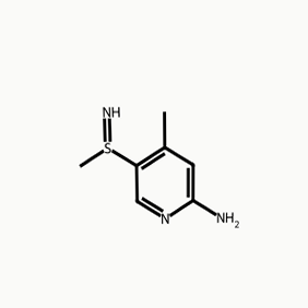 Cc1cc(N)ncc1S(C)=N